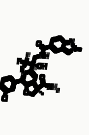 Cn1cc2cc(C(=O)NC[C@](O)(c3cc4c(c(-c5ccc(F)c(Cl)c5)n3)OC[C@]4(C)C(N)=O)C(F)(F)F)ccc2n1